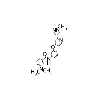 CN(C)c1cccc(C(=O)Nc2cccc(Oc3ccnc(-c4cnn(C)c4)c3)c2)c1